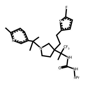 CCCNC(=O)NC(C)(C(F)(F)F)C1(CCc2ccc(F)s2)CCN(C(C)(C)c2ccc(C)nc2)C1